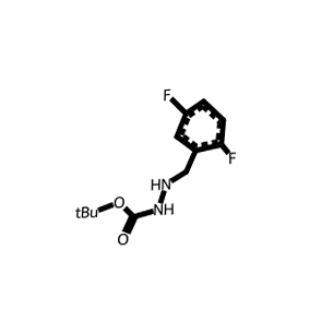 CC(C)(C)OC(=O)NNCc1cc(F)ccc1F